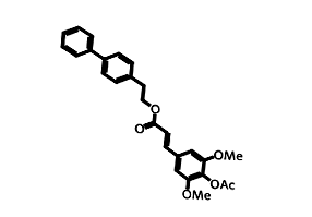 COc1cc(/C=C/C(=O)OCCc2ccc(-c3ccccc3)cc2)cc(OC)c1OC(C)=O